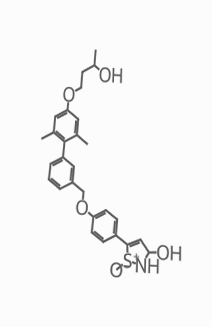 Cc1cc(OCCC(C)O)cc(C)c1-c1cccc(COc2ccc(C3=CC(O)N[S+]3[O-])cc2)c1